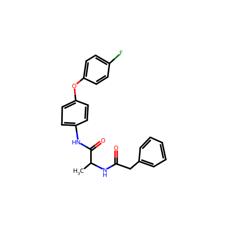 CC(NC(=O)Cc1ccccc1)C(=O)Nc1ccc(Oc2ccc(F)cc2)cc1